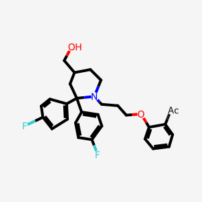 CC(=O)c1ccccc1OCCCN1CCC(CO)CC1(c1ccc(F)cc1)c1ccc(F)cc1